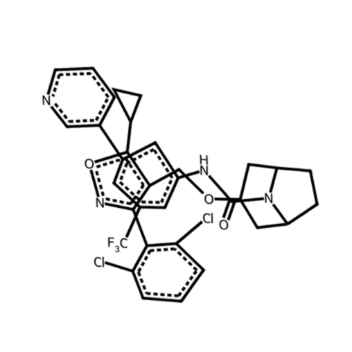 O=C(Nc1cc(-c2cccnc2)cc(C(F)(F)F)c1)N1C2CCC1CC(OCc1c(-c3c(Cl)cccc3Cl)noc1C1CC1)C2